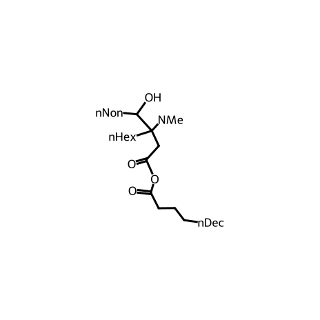 CCCCCCCCCCCCCC(=O)OC(=O)CC(CCCCCC)(NC)C(O)CCCCCCCCC